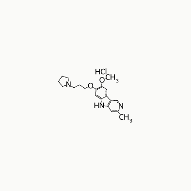 COc1cc2c(cc1OCCCN1CCCC1)[nH]c1cc(C)ncc12.Cl